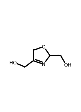 OCC1=NC(CO)OC1